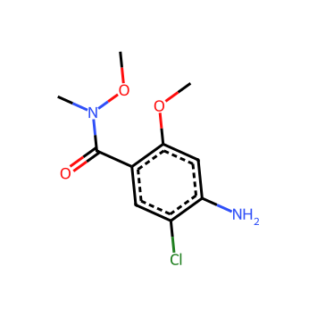 COc1cc(N)c(Cl)cc1C(=O)N(C)OC